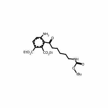 CCOC(=O)c1ccc(N)c(C(=O)CCCCCNC(=O)OC(C)(C)C)c1C(=O)OCC